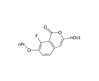 CCCCCCCCc1cc2ccc(OCCC)c(F)c2c(=O)o1